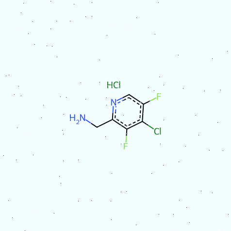 Cl.NCc1ncc(F)c(Cl)c1F